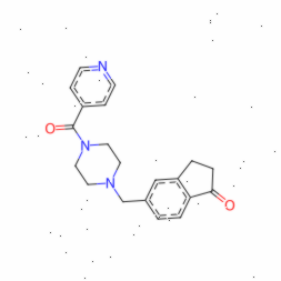 O=C1CCc2cc(CN3CCN(C(=O)c4ccncc4)CC3)ccc21